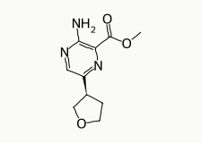 COC(=O)c1nc([C@H]2CCOC2)cnc1N